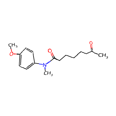 COc1ccc(N(C)C(=O)CCCCCC(C)=O)cc1